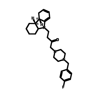 O=C(CCN1C2=CC=CC[C@H]2[C@H]2CCCCC21)CN1CCN(Cc2ccc(F)cc2)CC1